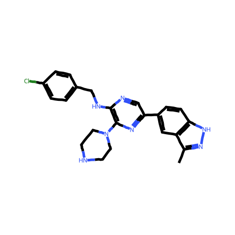 Cc1n[nH]c2ccc(-c3cnc(NCc4ccc(Cl)cc4)c(N4CCNCC4)n3)cc12